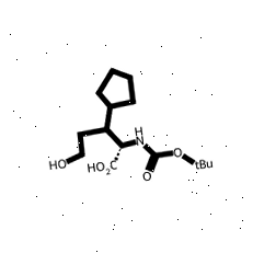 CC(C)(C)OC(=O)N[C@H](C(=O)O)C(CCO)C1CCCC1